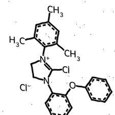 Cc1cc(C)c([N+]2=C(Cl)N(c3ccccc3Oc3ccccc3)CC2)c(C)c1.[Cl-]